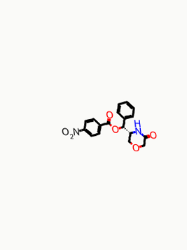 O=C1COC[C@H](C(OC(=O)c2ccc([N+](=O)[O-])cc2)c2ccccc2)N1